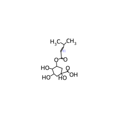 CC(C)/C=C/C(=O)OC1CC(O)(C(=O)O)CC(O)C1O